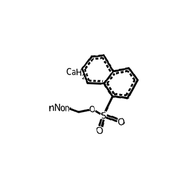 CCCCCCCCCCOS(=O)(=O)c1cccc2ccccc12.[CaH2]